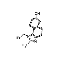 Cc1nc2cnc3cc(O)ccc3c2n1CC(C)C